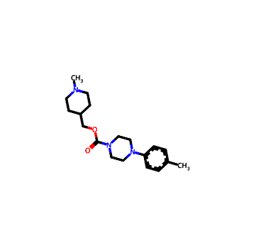 Cc1ccc(N2CCN(C(=O)OCC3CCN(C)CC3)CC2)cc1